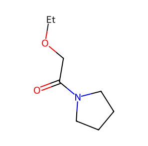 CCOCC(=O)N1CCCC1